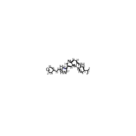 CC(C)c1cnnc(Nc2ccc3ncc(/C(C=N)=C/NCCC4CCOCC4)cc3n2)c1